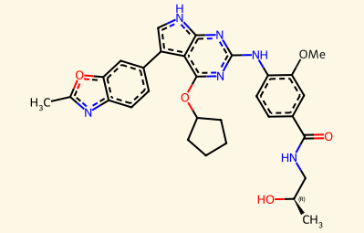 COc1cc(C(=O)NC[C@@H](C)O)ccc1Nc1nc(OC2CCCC2)c2c(-c3ccc4nc(C)oc4c3)c[nH]c2n1